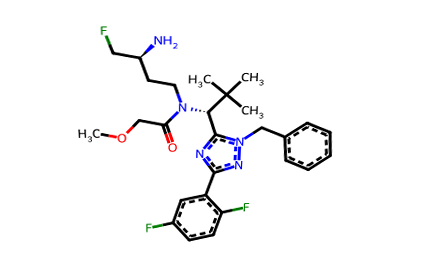 COCC(=O)N(CC[C@H](N)CF)[C@@H](c1nc(-c2cc(F)ccc2F)nn1Cc1ccccc1)C(C)(C)C